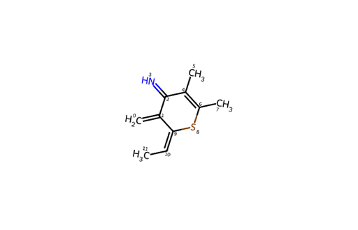 C=c1c(=N)c(C)c(C)s/c1=C/C